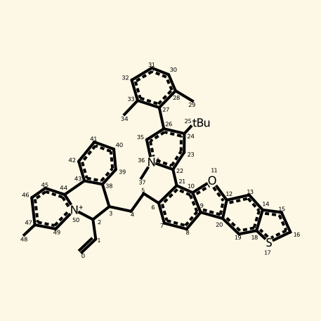 C=CC1C(CCc2ccc3c(oc4cc5ccsc5cc43)c2-c2cc(C(C)(C)C)c(-c3c(C)cccc3C)c[n+]2C)c2ccccc2-c2ccc(C)c[n+]21